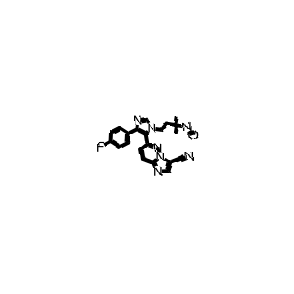 CC(C)(CCn1cnc(-c2ccc(F)cc2)c1-c1ccc2ncc(C#N)n2n1)N=O